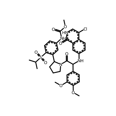 COC(=O)Nc1ccc(S(=O)(=O)C(C)C)c(C2CCCN2C(=O)C(Nc2ccc3c(Cl)c[nH]c(=O)c3c2)c2ccc(OC)c(OC)c2)c1